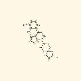 C[C@H]1CC2(CCN(c3ncc(-c4cccc(Cl)c4Cl)c4nccn34)CC2)CO1